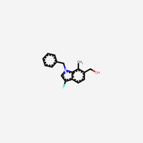 Cc1c(CO)ccc2c(F)cn(Cc3ccccc3)c12